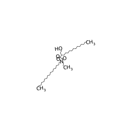 CCCCCCCCCCCCCCCCN(CCC)C(=O)C1(C(CCO)CCCCCCCCCCCCC)OO1